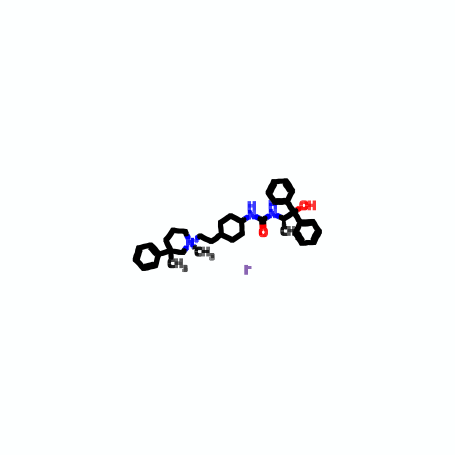 C[C@@H](NC(=O)NC1CCC(CC[N+]2(C)CCCC(C)(c3ccccc3)C2)CC1)C(O)(c1ccccc1)c1ccccc1.[I-]